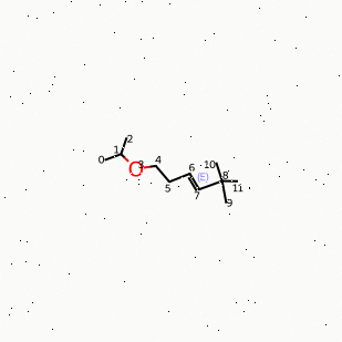 CC(C)OCC/C=C/C(C)(C)C